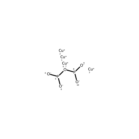 [Cu+].[Cu+].[Cu+].[Cu+].[O-]P([O-])OP([O-])[O-]